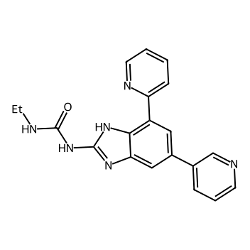 CCNC(=O)Nc1nc2cc(-c3cccnc3)cc(-c3ccccn3)c2[nH]1